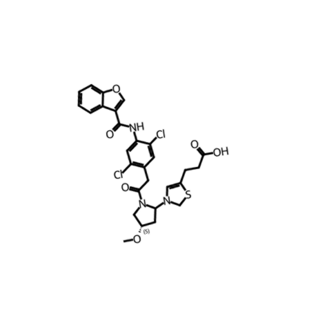 CO[C@H]1CC(N2C=C(CCC(=O)O)SC2)N(C(=O)Cc2cc(Cl)c(NC(=O)c3coc4ccccc34)cc2Cl)C1